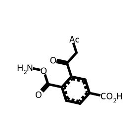 CC(=O)CC(=O)c1cc(C(=O)O)ccc1C(=O)ON